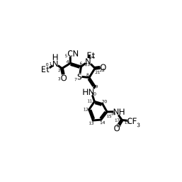 CCNC(=O)C(C#N)=c1sc(=CNc2cccc(NC(=O)C(F)(F)F)c2)c(=O)n1CC